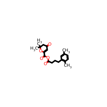 Cc1ccc(C)c(CCCC(=O)OC(=O)C2=CC(=O)CC(C)(C)O2)c1